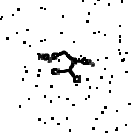 CN(CC(=O)O)C(Cl)Cl